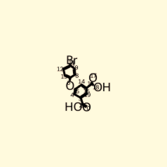 O=C(O)c1cc(Oc2ccc(Br)cc2)cc(C(=O)O)c1